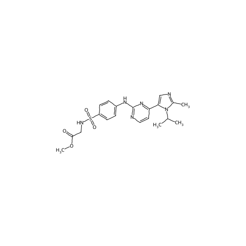 COC(=O)CNS(=O)(=O)c1ccc(Nc2nccc(-c3cnc(C)n3C(C)C)n2)cc1